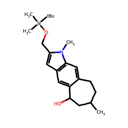 CC1CCc2cc3c(cc2C(O)C1)cc(CO[Si](C)(C)C(C)(C)C)n3C